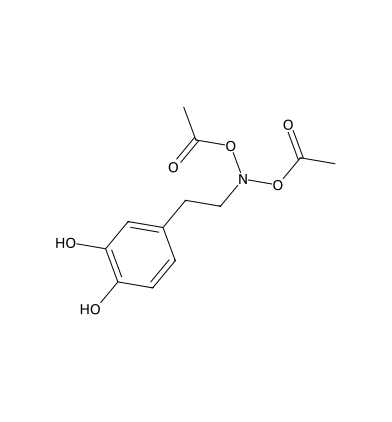 CC(=O)ON(CCc1ccc(O)c(O)c1)OC(C)=O